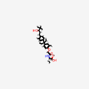 CC[C@H](NC(=O)COc1ccc(C(CC)(CC)c2ccc(CCC(O)C(C)(C)C)c(C)c2)cc1C)C(=O)O